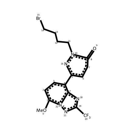 COc1ccc(-c2ccc(=O)n(CCCCBr)n2)c2nc(C(F)(F)F)nn12